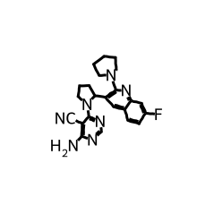 N#Cc1c(N)ncnc1N1CCCC1c1cc2ccc(F)cc2nc1N1CCCCC1